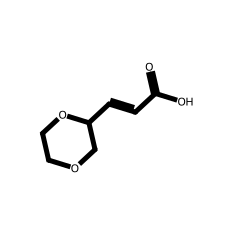 O=C(O)C=CC1COCCO1